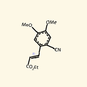 CCOC(=O)/C=C/c1cc(OC)c(OC)cc1C#N